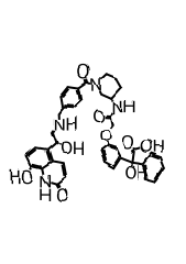 O=C(COc1cccc([C@](O)(C(=O)O)c2ccccc2)c1)N[C@@H]1CCCN(C(=O)c2ccc(CNC[C@H](O)c3ccc(O)c4[nH]c(=O)ccc34)cc2)C1